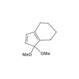 COC1(OC)C=CC2=C1CCCC2